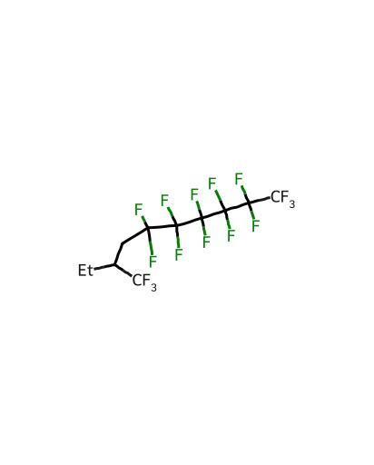 CCC(CC(F)(F)C(F)(F)C(F)(F)C(F)(F)C(F)(F)C(F)(F)F)C(F)(F)F